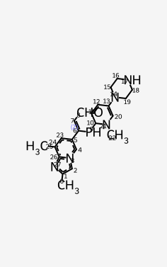 Cc1cn2cc(/C(=C/C=O)PC3C=CC(N4CCNCC4)=CN3C)cc(C)c2n1